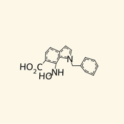 O=C(O)c1ccc2ccn(Cc3ccccc3)c2c1NO